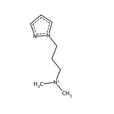 C[N+](C)CCCn1cccn1